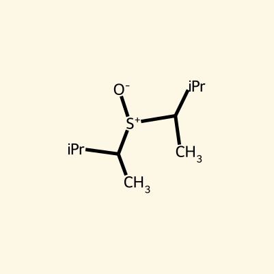 CC(C)C(C)[S+]([O-])C(C)C(C)C